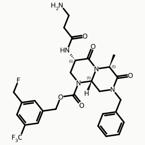 C[C@H]1C(=O)N(Cc2ccccc2)C[C@@H]2N(C(=O)OCc3cc(CF)cc(C(F)(F)F)c3)C[C@H](NC(=O)CCN)C(=O)N21